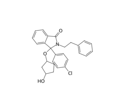 O=C1c2ccccc2C(OC2CCC(O)C2)(c2ccc(Cl)cc2)N1CCc1ccccc1